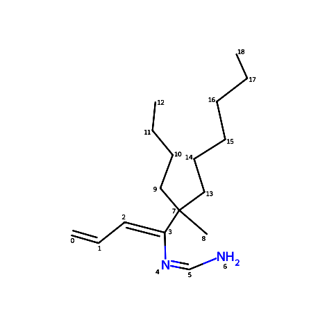 C=C/C=C(\N=C/N)C(C)(CCCC)CCCCCC